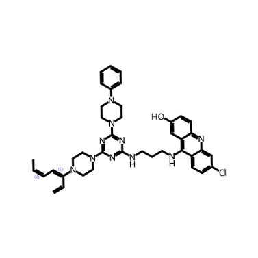 C=C/C(=C\C=C/C)N1CCN(c2nc(NCCCNc3c4ccc(Cl)cc4nc4ccc(O)cc34)nc(N3CCN(c4ccccc4)CC3)n2)CC1